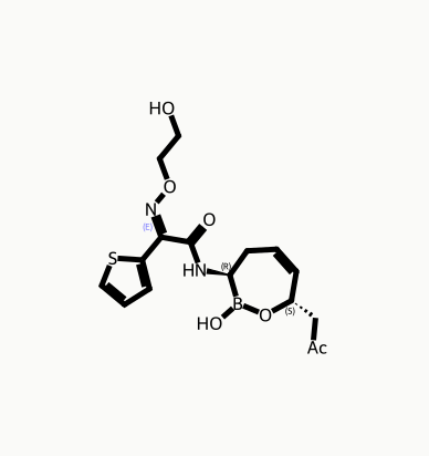 CC(=O)C[C@H]1C=CC[C@H](NC(=O)/C(=N\OCCO)c2cccs2)B(O)O1